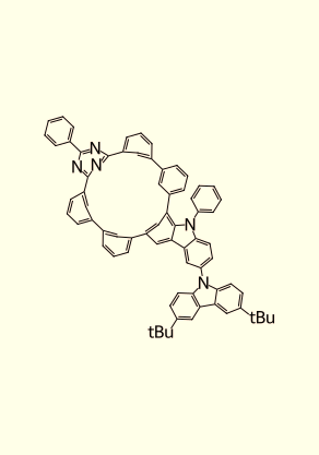 CC(C)(C)c1ccc2c(c1)c1cc(C(C)(C)C)ccc1n2-c1ccc2c(c1)c1cc3cc(c4cccc(c4)c4cccc(c4)c4nc(-c5ccccc5)nc(n4)c4cccc(c4)c4cccc3c4)c1n2-c1ccccc1